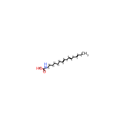 CCC=CCC=CCC=CCCCCCCNC(=O)O